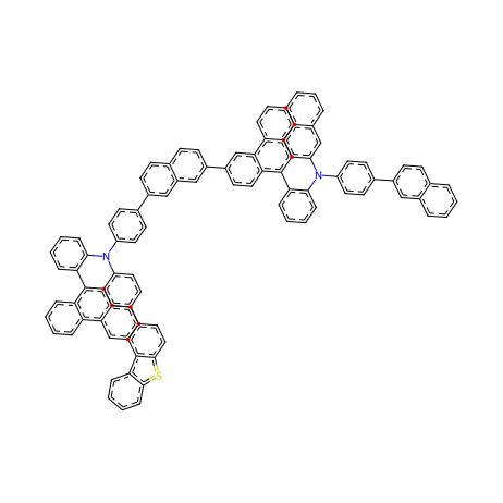 c1ccc(N(c2ccc(-c3ccc4ccc(-c5ccc6c(-c7ccccc7N(c7ccc(-c8ccc9ccccc9c8)cc7)c7ccc8ccccc8c7)cc7ccccc7c6c5)cc4c3)cc2)c2ccc(-c3ccc4sc5ccccc5c4c3)cc2)c(-c2cc3ccccc3c3ccccc23)c1